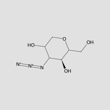 [N-]=[N+]=NC1C(O)COC(CO)[C@H]1O